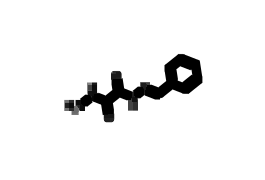 NNC(=O)C(=O)NN=Cc1ccccc1